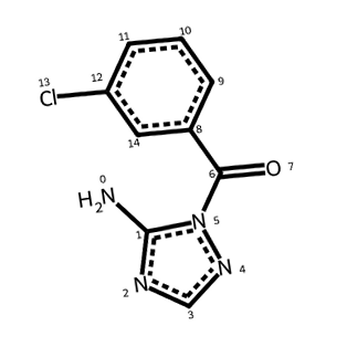 Nc1ncnn1C(=O)c1cccc(Cl)c1